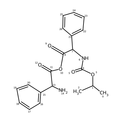 CC(C)OC(=O)NC(C(=O)OC(=O)C(N)c1ccccc1)c1ccccc1